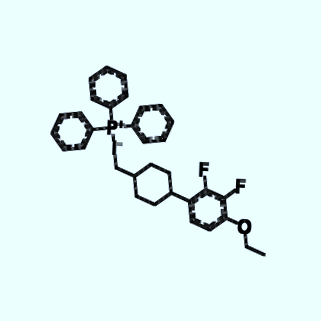 CCOc1ccc(C2CCC(C[I-][P+](c3ccccc3)(c3ccccc3)c3ccccc3)CC2)c(F)c1F